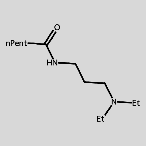 CCCCCC(=O)NCCCN(CC)CC